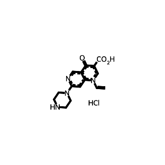 C=Cn1cc(C(=O)O)c(=O)c2cnc(N3CCNCC3)cc21.Cl